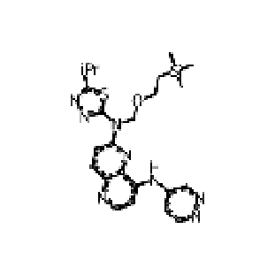 CC(C)c1nnc(N(COCC[Si](C)(C)C)c2ccc3nccc(Nc4ccnnc4)c3n2)s1